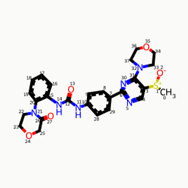 C[S+]([O-])c1cnc(-c2ccc(NC(=O)Nc3ccccc3N3CCOCC3=O)cc2)nc1N1CCOCC1